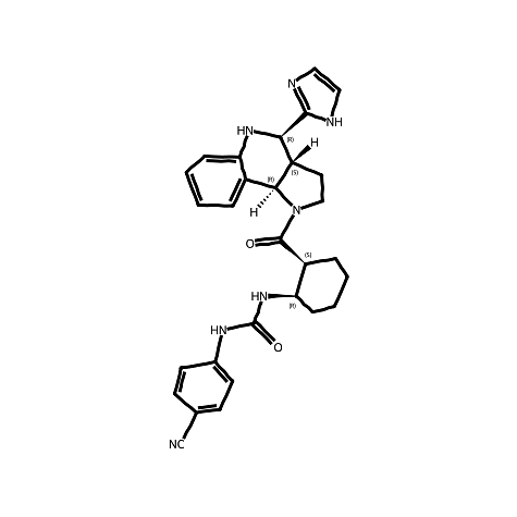 N#Cc1ccc(NC(=O)N[C@@H]2CCCC[C@@H]2C(=O)N2CC[C@H]3[C@H](c4ncc[nH]4)Nc4ccccc4[C@@H]32)cc1